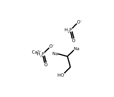 O=[PH2][O-].O=[PH2][O-].OC[CH]([Na])[Na].[Ca+2]